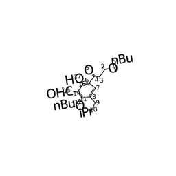 CCCCOCCC(=O)c1cc(CC(C)C)c(OCCCC)c(C=O)c1O